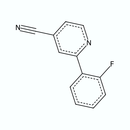 N#Cc1ccnc(-c2ccccc2F)c1